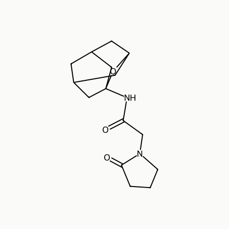 O=C(CN1CCCC1=O)NC12CC3CC(CC(C3)O1)C2